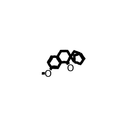 COc1ccc2c(c1)C(=O)C1(CC2)CC2=CCC1C2